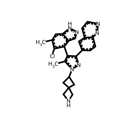 Cc1cc2[nH]ncc2c(-c2c(-c3ccc4nnccc4c3)nn(C3CC4(CNC4)C3)c2C)c1Cl